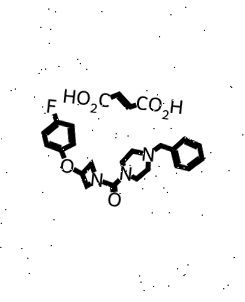 O=C(N1CCN(Cc2ccccc2)CC1)N1CC(Oc2ccc(F)cc2)C1.O=C(O)/C=C/C(=O)O